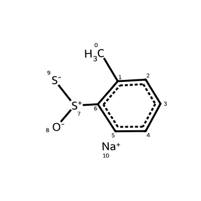 Cc1ccccc1[S+]([O-])[S-].[Na+]